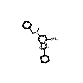 CN(Cc1ccccc1)c1cc(N)n2nc(-c3ccccc3)nc2c1